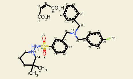 CC1(C)CCCN(NS(=O)(=O)c2cccc(CN(Cc3ccccc3)Cc3ccc(F)cc3)c2)C1.O=C(O)/C=C\C(=O)O